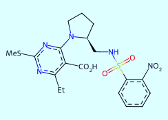 CCc1nc(SC)nc(N2CCC[C@H]2CNS(=O)(=O)c2ccccc2[N+](=O)[O-])c1C(=O)O